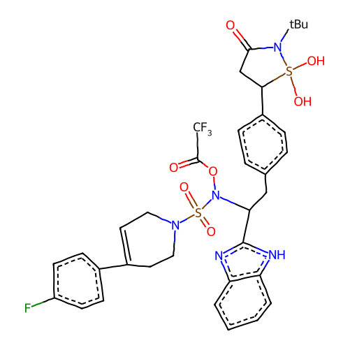 CC(C)(C)N1C(=O)CC(c2ccc(CC(c3nc4ccccc4[nH]3)N(OC(=O)C(F)(F)F)S(=O)(=O)N3CC=C(c4ccc(F)cc4)CC3)cc2)S1(O)O